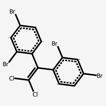 ClC(Cl)=C(c1[c]cc(Br)[c]c1Br)c1[c]cc(Br)[c]c1Br